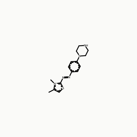 Cc1csc(/N=N/c2ccc(N3CCNCC3)cc2)[n+]1C